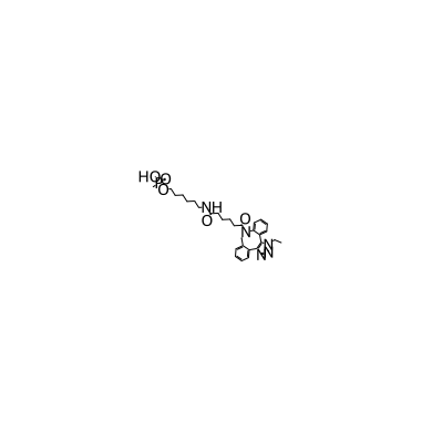 CCn1nnc2c1-c1ccccc1N(C(=O)CCCCC(=O)NCCCCCCOP(C)(=O)O)Cc1ccccc1-2